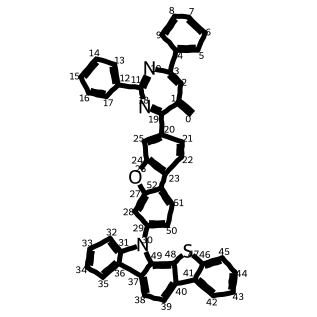 C=C1C=C(c2ccccc2)N=C(c2ccccc2)N=C1c1ccc2c(c1)oc1cc(-n3c4ccccc4c4ccc5c6ccccc6sc5c43)ccc12